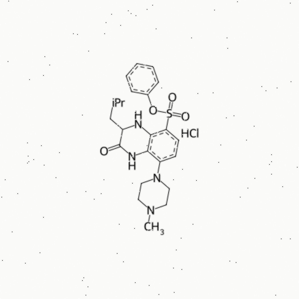 CC(C)CC1Nc2c(S(=O)(=O)Oc3ccccc3)ccc(N3CCN(C)CC3)c2NC1=O.Cl